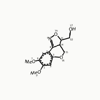 COc1cc2c(cc1OC)C1=NOC(CO)C1CO2